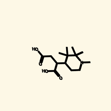 CN1CCC(C(CC(=O)O)C(=O)O)C(C)(C)C1(C)C